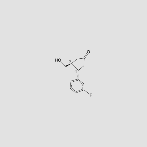 O=C1C[C@H](CO)[C@@H](c2cccc(F)c2)C1